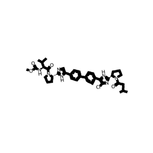 COC(=O)N[C@H](C(=O)N1CCC[C@H]1c1ncc(-c2ccc(-c3ccc(-c4[nH]c([C@@H]5CCCN5C(=O)CC(C)C)nc4Cl)cc3)cc2)[nH]1)C(C)C